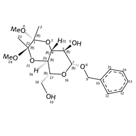 CO[C@]1(C)O[C@@H]2[C@@H](O)[C@H](OCc3ccccc3)O[C@H](CO)[C@H]2O[C@@]1(C)OC